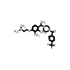 Cc1c(OCCN(C)C)ccc(C(C)N2CCN(C(=O)c3ccc(C(F)(F)F)cc3)CC2)c1C